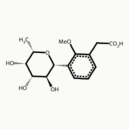 COc1c(CC(=O)O)cccc1[C@H]1O[C@@H](C)[C@@H](O)[C@@H](O)[C@@H]1O